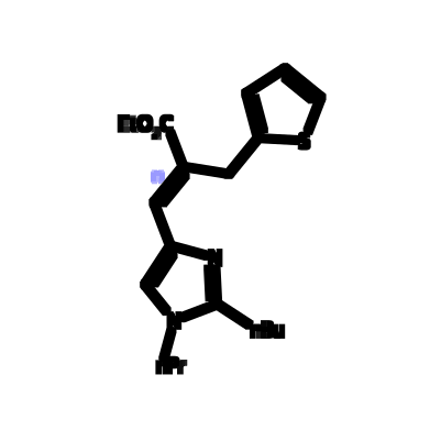 CCCCc1nc(/C=C(\Cc2cccs2)C(=O)OCC)cn1CCC